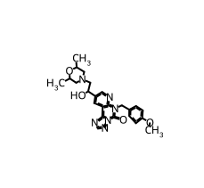 COc1ccc(Cn2c(=O)n3ncnc3c3cc(C(O)CN4CC(C)OC(C)C4)cnc32)cc1